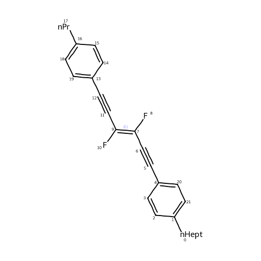 CCCCCCCc1ccc(C#C/C(F)=C(\F)C#Cc2ccc(CCC)cc2)cc1